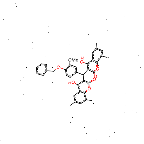 COc1cc(C(c2c(O)c3cc(C)cc(C)c3oc2=O)c2c(O)c3cc(C)cc(C)c3oc2=O)ccc1OCc1ccccc1